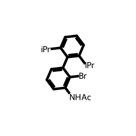 CC(=O)Nc1cccc(-c2c(C(C)C)cccc2C(C)C)c1Br